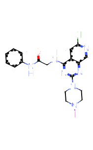 O=C(CNc1nc(N2CCN(I)CC2)nc2cnc(Cl)cc12)Nc1ccccc1